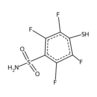 NS(=O)(=O)c1c(F)c(F)c(S)c(F)c1F